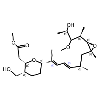 COC(=O)C[C@@H]1O[C@H](/C(C)=C/C=C/[C@@H](C)C[C@@]2(C)O[C@@H]2[C@H](C)C(OC)[C@@H](C)O)CC[C@@H]1CO